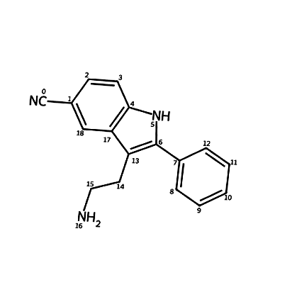 N#Cc1ccc2[nH]c(-c3ccccc3)c(CCN)c2c1